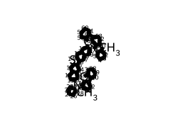 Cc1ccccc1N(c1ccc2cc3sc4cc5ccc(N(c6ccccc6C)c6cccc7c6oc6ccccc67)cc5cc4c3cc2c1)c1cccc2c1oc1ccccc12